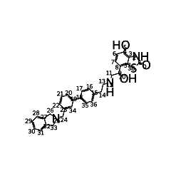 O=c1[nH]c2c(O)ccc([C@@H](O)CNCCc3ccc(-c4cccc(CN5Cc6ccccc6C5)c4)cc3)c2s1